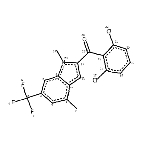 Cc1cc(C(F)(F)F)cc2c1cc(C(=O)c1c(Cl)[c]ccc1Cl)n2C